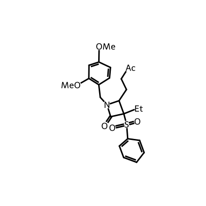 CCC1(S(=O)(=O)c2ccccc2)C(=O)N(Cc2ccc(OC)cc2OC)C1CCC(C)=O